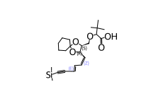 CC(C)(C)C(OC[C@@H]1OC2(CCCCC2)O[C@@H]1/C=C\C=C\C#C[Si](C)(C)C)C(=O)O